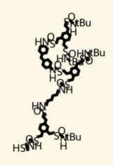 CC(C)(C)NC(=O)SCCC1CCC(CCSC(=O)NCCCCCCNC(=O)SCCC2CCC(CCSC(=O)NC(C)(C)S)C(CCSC(=O)NC(C)(C)C)C2)C(CCSC(=O)NC2CCC(CC3CCC(NC(=O)SCCC4CC(CCSC(=O)NC(C)(C)C)CCC4CCSC(=O)NC(C)(C)C)CC3)CC2)C1